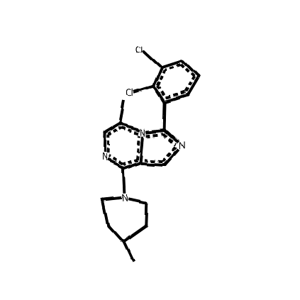 C[C]1CCN(c2ncc(C)n3c(-c4cccc(Cl)c4Cl)ncc23)CC1